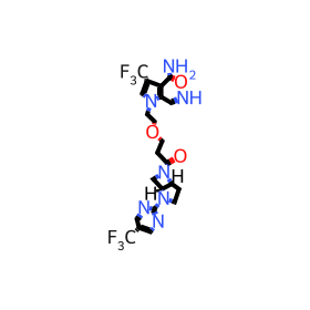 N=Cc1c(C(N)=O)c(C(F)(F)F)cn1CCOCCC(=O)N1C[C@@H]2[C@H]1CCN2c1ncc(C(F)(F)F)cn1